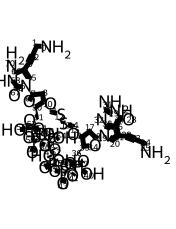 NCC#CC1=CN([C@H]2CC(OCSSCOC3C[C@H](n4cc(C#CCN)c5c(=O)[nH]c(N)nc54)O[C@@H]3COP(=O)(O)OP(=O)(O)OP(=O)(O)O)[C@@H](COP(=O)(O)OP(=O)(O)OP(=O)(O)O)O2)C(=O)NC1N